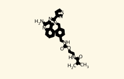 C=C(C)C(=O)NCCOC(=O)NCc1ccc(Cn2c(-c3ccsn3)nc3c(N)nc4ccccc4c32)cc1